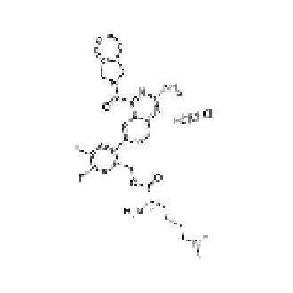 CN(C)CCCC[C@H](N)C(=O)OCc1cc(F)c(F)cc1-c1ccc2nc(N)nc(C(=O)N3Cc4ccccc4C3)c2c1.Cl.Cl.Cl